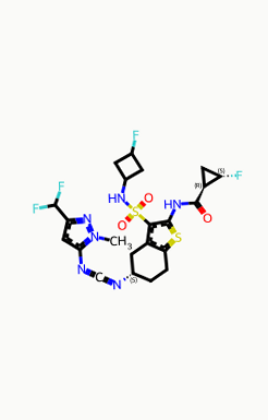 Cn1nc(C(F)F)cc1N=C=N[C@H]1CCc2sc(NC(=O)[C@H]3C[C@@H]3F)c(S(=O)(=O)NC3CC(F)C3)c2C1